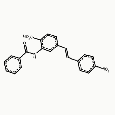 O=C(Nc1cc(C=Cc2ccc([N+](=O)[O-])cc2)ccc1C(=O)O)c1ccccc1